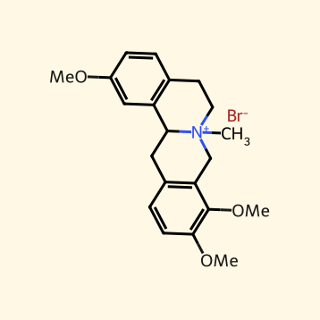 COc1ccc2c(c1)C1Cc3ccc(OC)c(OC)c3C[N+]1(C)CC2.[Br-]